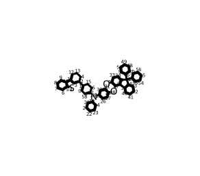 C1=C(C2=c3sc4ccccc4c3=CCC2)CCC(N(c2ccccc2)c2ccc3c(c2)Oc2ccc4c(c2O3)-c2ccccc2C4(c2ccccc2)c2ccccc2)=C1